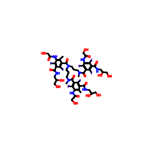 Cc1c(NC(=O)CO)c(I)c(C(=O)NCC(O)CO)c(I)c1C(=O)N(CCCN(C)C(=O)c1c(I)c(NC(=O)CO)c(C)c(C(=O)NCC(O)CO)c1I)CCCN(C)C(=O)c1c(I)c(NC(=O)CO)c(I)c(C(=O)NCC(O)CO)c1I